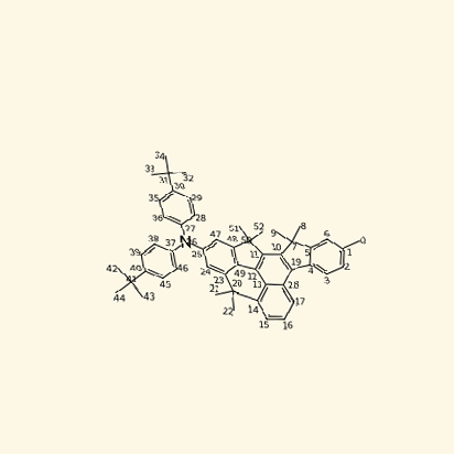 Cc1ccc2c(c1)C(C)(C)c1c3c4c5c(cccc5c1-2)C(C)(C)c1cc(N(c2ccc(C(C)(C)C)cc2)c2ccc(C(C)(C)C)cc2)cc(c1-4)C3(C)C